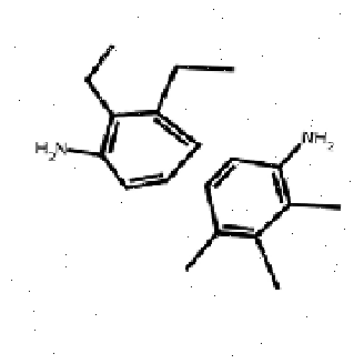 CCc1cccc(N)c1CC.Cc1ccc(N)c(C)c1C